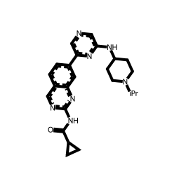 CC(C)N1CCC(Nc2cncc(-c3ccc4cnc(NC(=O)C5CC5)nc4c3)n2)CC1